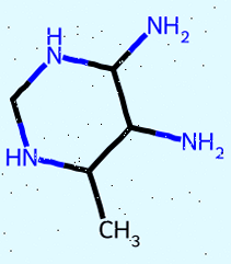 CC1NCNC(N)C1N